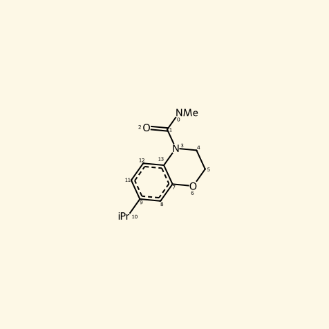 CNC(=O)N1CCOc2cc(C(C)C)ccc21